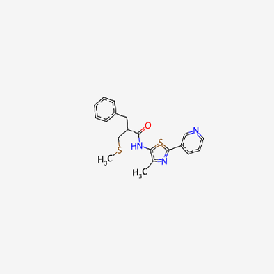 CSCC(Cc1ccccc1)C(=O)Nc1sc(-c2cccnc2)nc1C